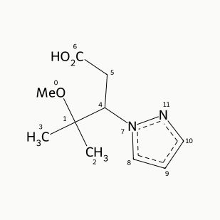 COC(C)(C)C(CC(=O)O)n1cccn1